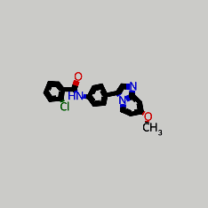 COc1ccn2c(-c3ccc(NC(=O)c4ccccc4Cl)cc3)cnc2c1